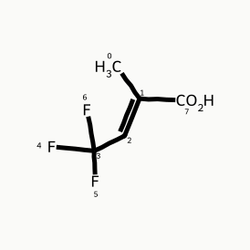 CC(=CC(F)(F)F)C(=O)O